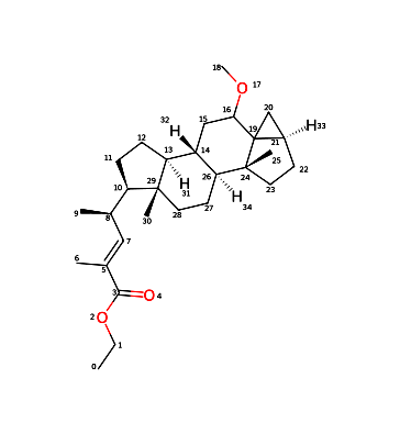 CCOC(=O)/C(C)=C/[C@@H](C)[C@H]1CC[C@H]2[C@@H]3CC(OC)C45C[C@H]4CC[C@]5(C)[C@H]3CC[C@]12C